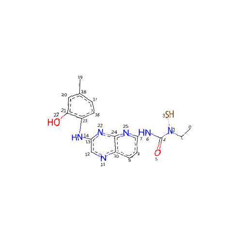 CCN(S)C(=O)Nc1ccc2ncc(Nc3ccc(C)cc3O)nc2n1